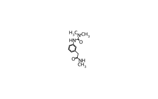 CNC(=O)Cc1cccc(NC(=O)N(C)C)c1